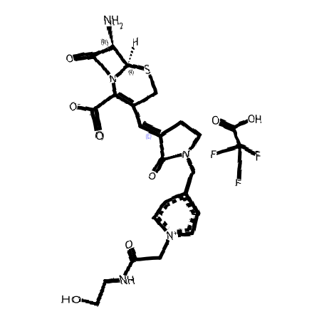 N[C@@H]1C(=O)N2C(C(=O)[O-])=C(/C=C3\CCN(Cc4cc[n+](CC(=O)NCCO)cc4)C3=O)CS[C@H]12.O=C(O)C(F)(F)F